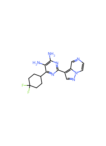 Nc1nc(-c2cnn3ccncc23)nc(C2CCC(F)(F)CC2)c1N